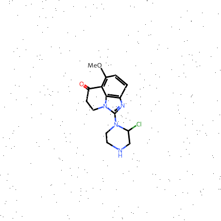 COc1ccc2nc(N3CCNCC3Cl)n3c2c1C(=O)CC3